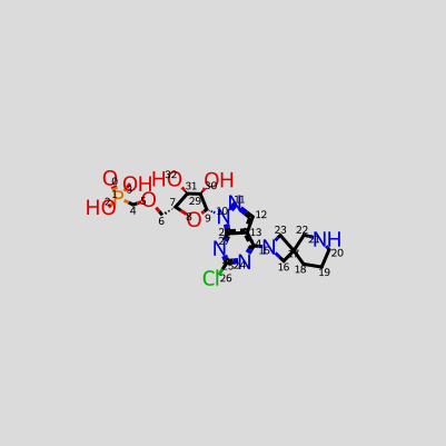 O=P(O)(O)COC[C@H]1O[C@@H](n2ncc3c(N4CC5(CCCNC5)C4)nc(Cl)nc32)[C@H](O)[C@@H]1O